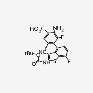 CC(C)(C)OC(=O)Nc1sc2c(F)ccc(-c3c(I)cc(C(=O)O)c(N)c3F)c2c1C#N